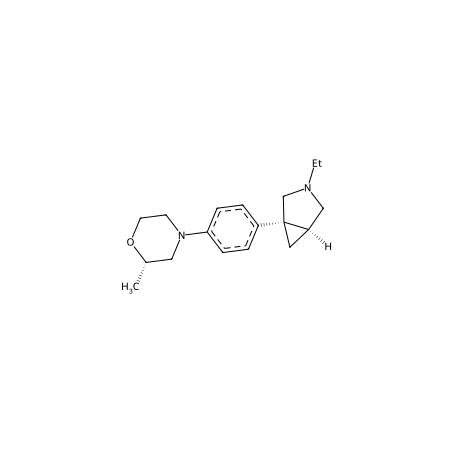 CCN1C[C@H]2C[C@@]2(c2ccc(N3CCO[C@@H](C)C3)cc2)C1